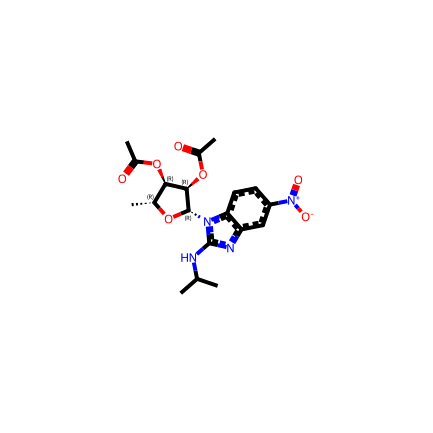 CC(=O)O[C@@H]1[C@H](OC(C)=O)[C@@H](C)O[C@H]1n1c(NC(C)C)nc2cc([N+](=O)[O-])ccc21